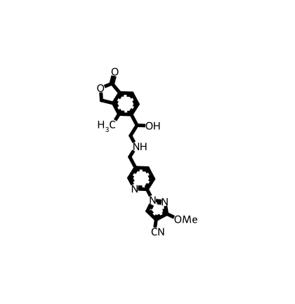 COc1nn(-c2ccc(CNCC(O)c3ccc4c(c3C)COC4=O)cn2)cc1C#N